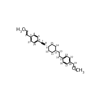 CC=Cc1ccc(C#C[C@H]2CC[C@H](CCc3ccc(COC)cc3)CC2)cc1